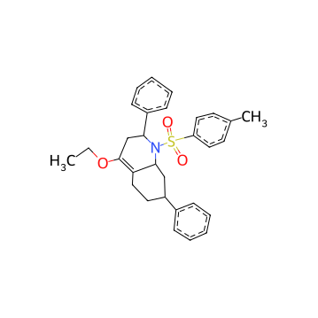 CCOC1=C2CCC(c3ccccc3)CC2N(S(=O)(=O)c2ccc(C)cc2)C(c2ccccc2)C1